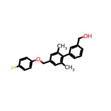 Cc1cc(COc2ccc(F)cc2)cc(C)c1-c1cccc(CO)c1